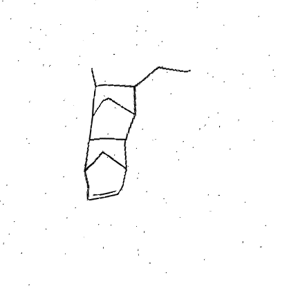 CCC1C(C)C2CC1C1C3C=CC(C3)C21